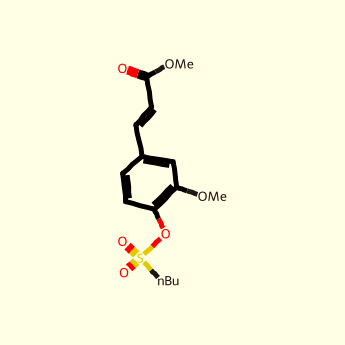 CCCCS(=O)(=O)Oc1ccc(C=CC(=O)OC)cc1OC